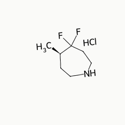 C[C@@H]1CCNCCC1(F)F.Cl